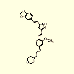 COc1cc(OCCN2CCOCC2)ccc1C=Cc1cc(/C=C/c2ccc3c(c2)OCO3)[nH]n1